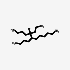 CCCCCCC(CCCC)C([O])(CCC)CCCC